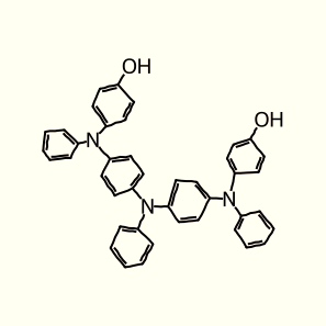 Oc1ccc(N(c2ccccc2)c2ccc(N(c3ccccc3)c3ccc(N(c4ccccc4)c4ccc(O)cc4)cc3)cc2)cc1